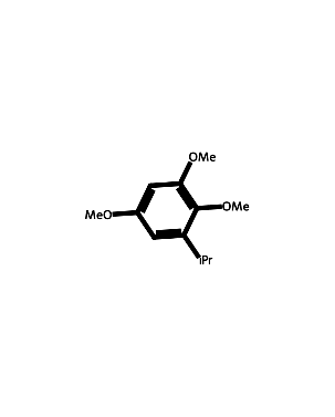 COc1cc(OC)c(OC)c(C(C)C)c1